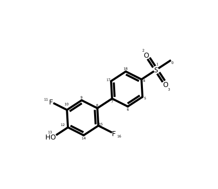 CS(=O)(=O)c1ccc(-c2cc(F)c(O)cc2F)cc1